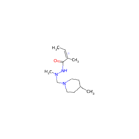 C/C=C(/C)C(=O)NN(C)CN1CCC(C)CC1